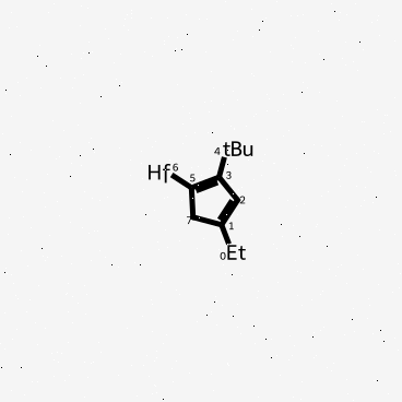 CCC1=CC(C(C)(C)C)=[C]([Hf])C1